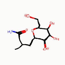 CC(CC1OC(CO)C(O)C(O)C1O)C(N)=O